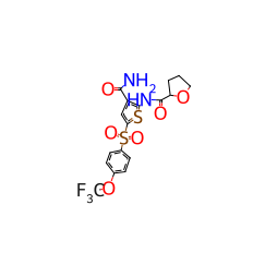 NC(=O)c1cc(S(=O)(=O)c2ccc(OC(F)(F)F)cc2)sc1NC(=O)C1CCCO1